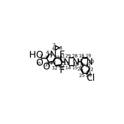 O=C(O)c1cn(C2CC2)c2c(F)c(N3CCN(c4ccnc5cc(Cl)ccc45)CC3)c(F)cc2c1=O